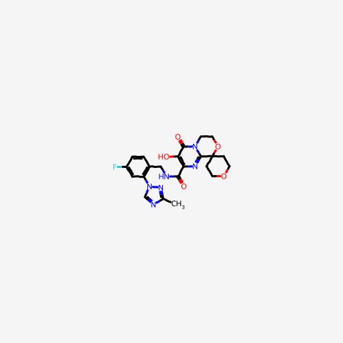 Cc1ncn(-c2cc(F)ccc2CNC(=O)c2nc3n(c(=O)c2O)CCOC32CCOCC2)n1